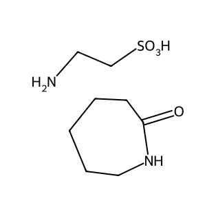 NCCS(=O)(=O)O.O=C1CCCCCN1